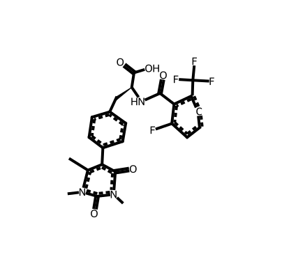 Cc1c(-c2ccc(C[C@H](NC(=O)c3c(F)cccc3C(F)(F)F)C(=O)O)cc2)c(=O)n(C)c(=O)n1C